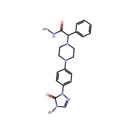 CCCNC(=O)C(c1ccccc1)N1CCN(c2ccc(-n3ncn(C(C)C)c3=O)cc2)CC1